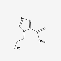 COC(=O)c1nn[c]n1CCC=O